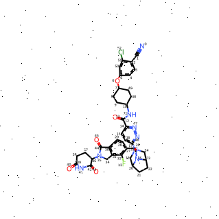 N#Cc1ccc(OC2CCC(NC(=O)c3ccc(N4CC5CCC(C4)N5Cc4ccc5c(c4F)CN(C4CCC(=O)NC4=O)C5=O)nn3)CC2)cc1Cl